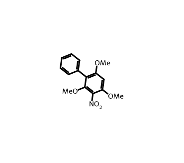 COc1cc(OC)c([N+](=O)[O-])c(OC)c1-c1ccccc1